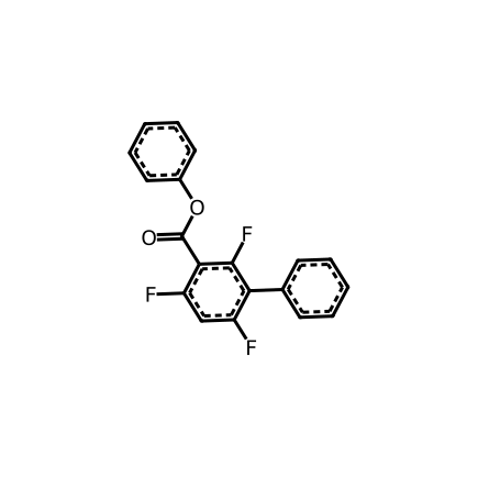 O=C(Oc1ccccc1)c1c(F)cc(F)c(-c2ccccc2)c1F